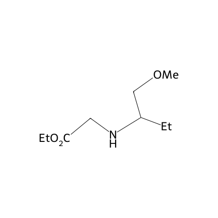 CCOC(=O)CNC(CC)COC